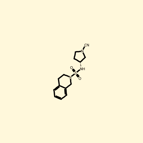 N#CN1CC[C@@H](NS(=O)(=O)N2CCc3ccccc3C2)C1